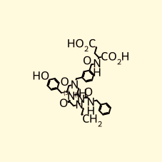 C=CCN1CC(=O)N2[C@@H](Cc3ccc(O)cc3)C(=O)N(Cc3cccc(C(=O)NC(CCC(=O)O)C(=O)O)c3)C[C@@H]2N1C(=O)NCc1ccccc1